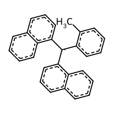 Cc1ccccc1[C](c1cccc2ccccc12)c1cccc2ccccc12